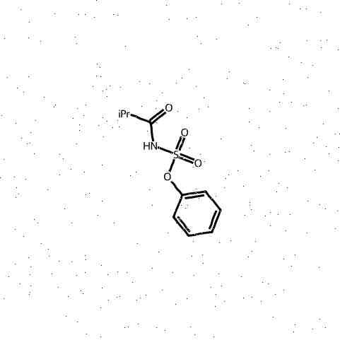 CC(C)C(=O)NS(=O)(=O)Oc1ccccc1